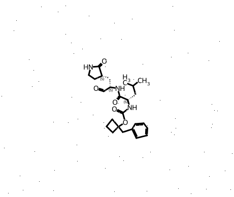 CC(C)C[C@H](NC(=O)OC1(Cc2ccccc2)CCC1)C(=O)N[C@H](C=O)C[C@@H]1CCNC1=O